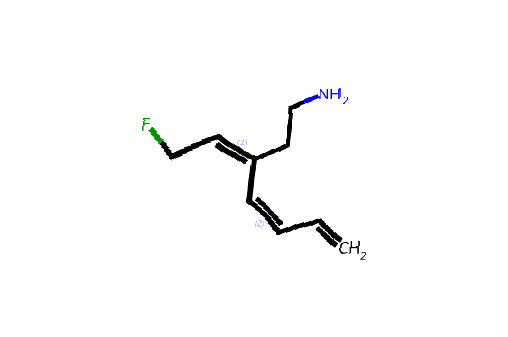 C=C/C=C\C(=C/CF)CCN